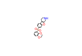 O=S(=O)(c1ccc2c3c(oc2c1)CNCC3)c1cccc2c1OCCO2